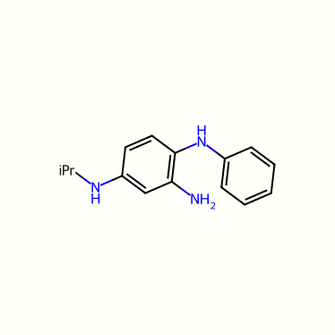 CC(C)Nc1ccc(Nc2ccccc2)c(N)c1